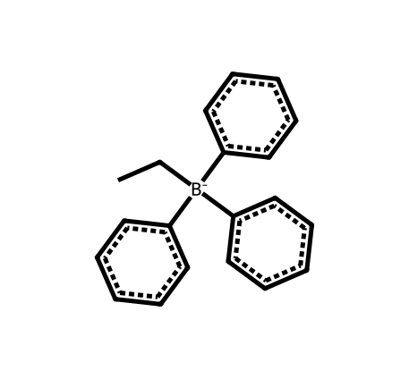 CC[B-](c1ccccc1)(c1ccccc1)c1ccccc1